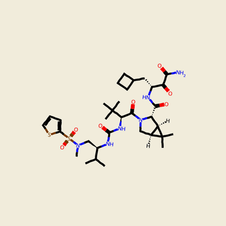 CC(C)[C@@H](CN(C)S(=O)(=O)c1cccs1)NC(=O)N[C@H](C(=O)N1C[C@H]2[C@@H]([C@H]1C(=O)N[C@H](CC1CCC1)C(=O)C(N)=O)C2(C)C)C(C)(C)C